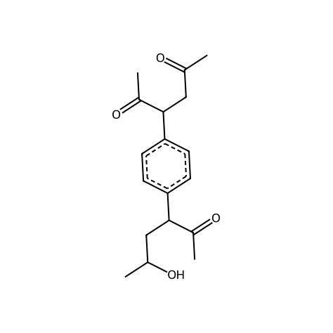 CC(=O)CC(C(C)=O)c1ccc(C(CC(C)O)C(C)=O)cc1